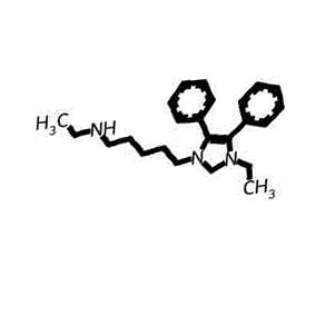 CCNCCCCCN1CN(CC)C(c2ccccc2)=C1c1ccccc1